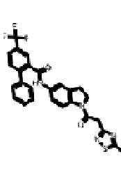 Nc1nc(CC(=O)N2CCc3cc(NC(=O)c4cc(C(F)(F)F)ccc4-c4ccccc4)ccc32)ns1